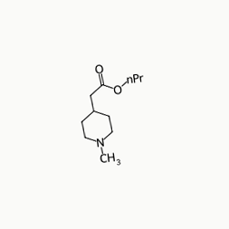 CCCOC(=O)CC1CCN(C)CC1